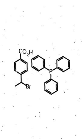 CC(Br)c1ccc(C(=O)O)cc1.c1ccc(P(c2ccccc2)c2ccccc2)cc1